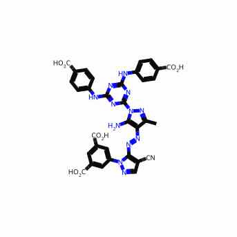 Cc1nn(-c2nc(Nc3ccc(C(=O)O)cc3)nc(Nc3ccc(C(=O)O)cc3)n2)c(N)c1N=Nc1c(C#N)cnn1-c1cc(C(=O)O)cc(C(=O)O)c1